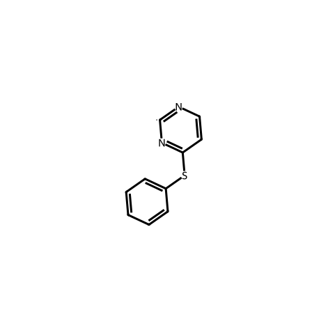 [c]1nccc(Sc2ccccc2)n1